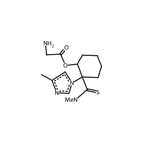 CNC(=S)C1(n2cnc(C)c2)CCCCC1OC(=O)CN